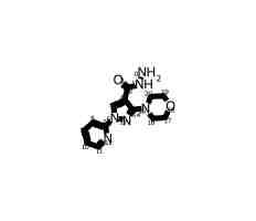 NNC(=O)c1cn(-c2ccccn2)nc1N1CCOCC1